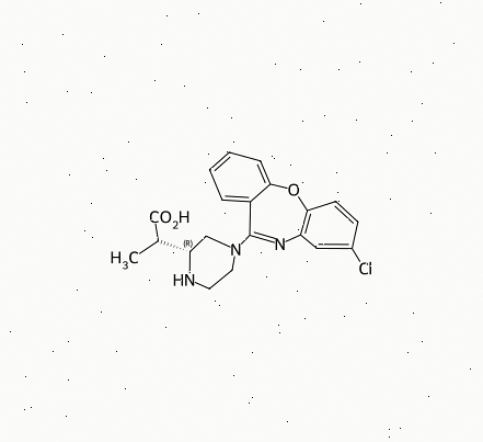 CC(C(=O)O)[C@@H]1CN(C2=Nc3cc(Cl)ccc3Oc3ccccc32)CCN1